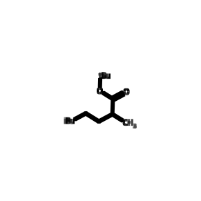 CCC(C)CCC(C)C(=O)OC(C)(C)C